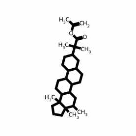 C=C(C)OC(=O)C(C)(C)C1CCC2C(CCC3C2CCC2C3CC(C)C3(C)CCCC23C)C1